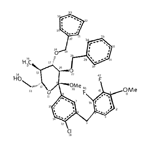 COc1ccc(Cc2cc([C@]3(OC)O[C@H](CO)[C@@H](C)[C@H](OCc4ccccc4)[C@H]3OCc3ccccc3)ccc2Cl)c(F)c1F